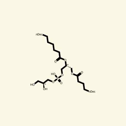 CCCCCCCCCCCCCCCC(=O)O[C@H](COC(=O)CCCCCCCCCCCCC)COP(=O)(O)OC[C@@H](O)CO